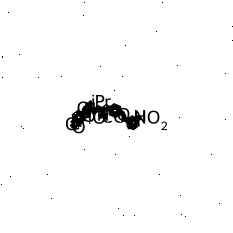 CC(C)CN(CCC(Cc1ccc(OCc2cccc([N+](=O)[O-])c2)cc1)N(O)C(=O)O)S(=O)(=O)c1ccc2c(c1)OCO2